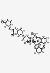 COc1cccc(CN2Cc3ccc(N4CCN(CCCC5(C(=O)NCC(F)(F)F)c6ccccc6Sc6ccccc65)CC4)cc3C2=O)c1